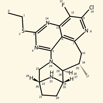 CCSc1nc2c3c(nc(Cl)c(F)c3n1)C[C@H](C)[C@H]1[C@@H]3CC[C@H](CN21)N3